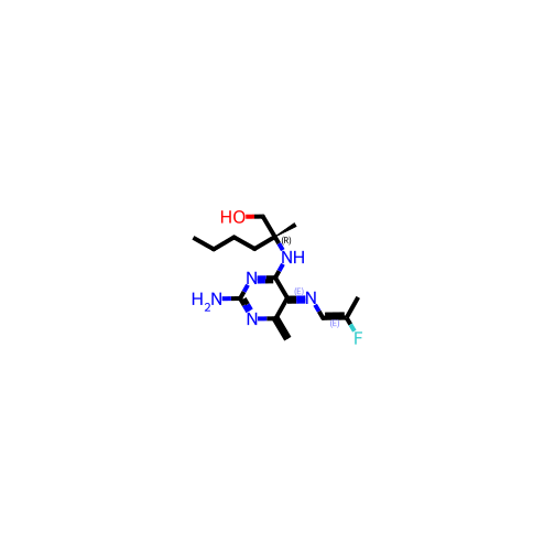 C=C1N=C(N)N=C(N[C@@](C)(CO)CCCC)/C1=N/C=C(\C)F